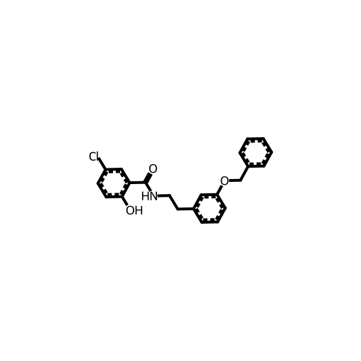 O=C(NCCc1cccc(OCc2ccccc2)c1)c1cc(Cl)ccc1O